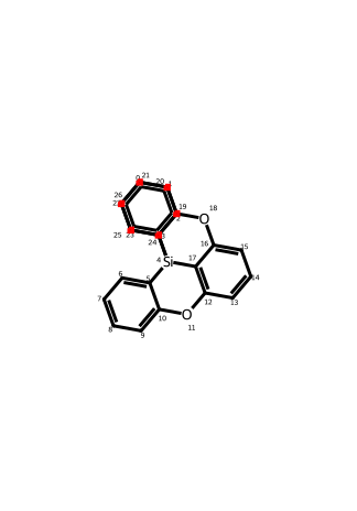 c1ccc([Si]23c4ccccc4Oc4cccc(c42)Oc2ccccc23)cc1